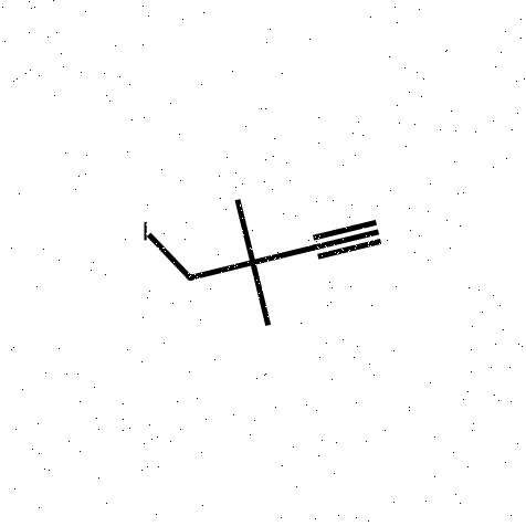 C#CC(C)(C)CI